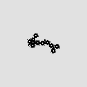 c1ccc(-c2cccc(N(c3ccc(-c4ccc5c(c4)sc4ccc(-c6ccc(N(c7ccccc7)c7ccccc7)cc6)cc45)cc3)c3cccc4oc5ccccc5c34)c2)cc1